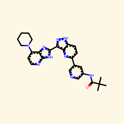 CC(C)(C)C(=O)Nc1cncc(-c2ccc3[nH]nc(-c4nc5c(N6CCCCC6)ccnc5[nH]4)c3n2)c1